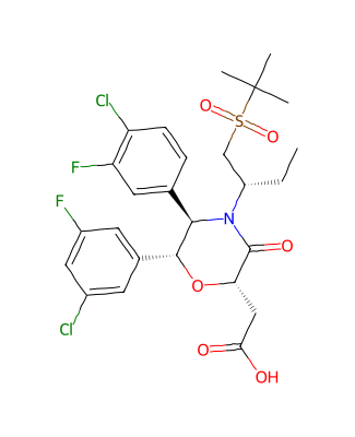 CC[C@@H](CS(=O)(=O)C(C)(C)C)N1C(=O)[C@H](CC(=O)O)O[C@H](c2cc(F)cc(Cl)c2)[C@H]1c1ccc(Cl)c(F)c1